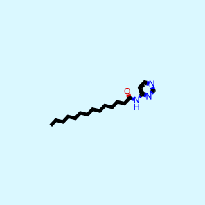 CCCCCCCCCCCCCC(=O)Nc1c[c]ncn1